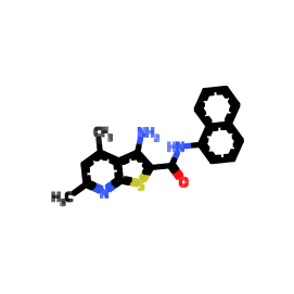 Cc1cc(C(F)(F)F)c2c(N)c(C(=O)Nc3cccc4ccccc34)sc2n1